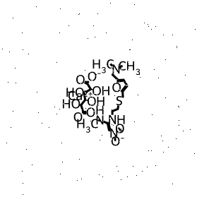 CN/C(=C/[N+](=O)[O-])NCCSCc1ccc(CN(C)C)o1.O=C([O-])[C@@H](O)[C@@H](O)[C@H](O)[C@@H](O)C(=O)[O-].[Ca+2]